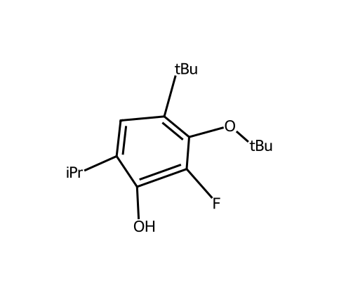 CC(C)c1cc(C(C)(C)C)c(OC(C)(C)C)c(F)c1O